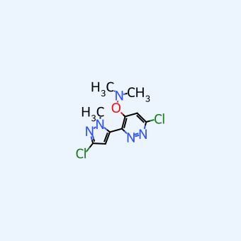 CN(C)Oc1cc(Cl)nnc1-c1cc(Cl)nn1C